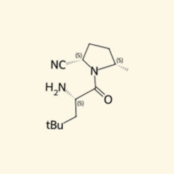 C[C@H]1CC[C@@H](C#N)N1C(=O)[C@@H](N)CC(C)(C)C